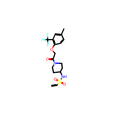 C=CS(=O)(=O)NC1CCN(C(=O)COc2ccc(C)cc2C(F)(F)F)CC1